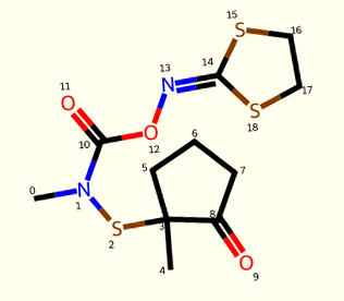 CN(SC1(C)CCCC1=O)C(=O)ON=C1SCCS1